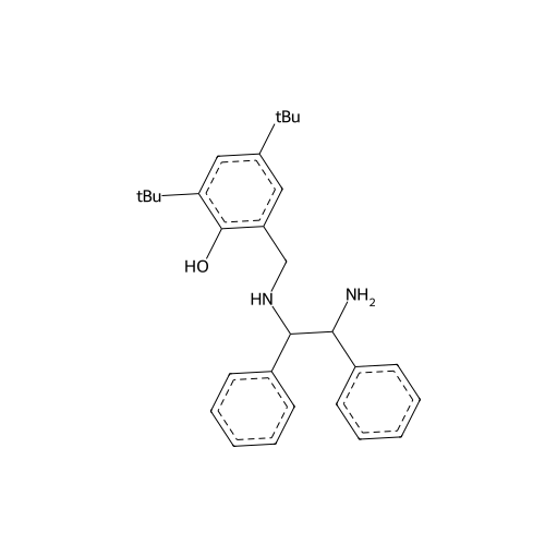 CC(C)(C)c1cc(CNC(c2ccccc2)C(N)c2ccccc2)c(O)c(C(C)(C)C)c1